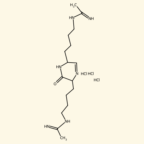 CC(=N)NCCCCC1C=NC(CCCCNC(C)=N)C(=O)N1.Cl.Cl.Cl